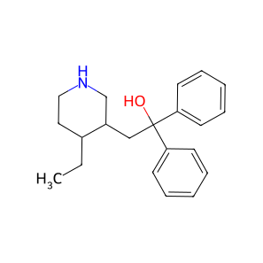 CCC1CCNCC1CC(O)(c1ccccc1)c1ccccc1